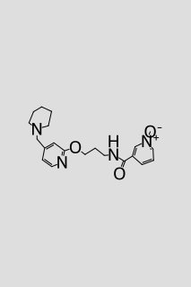 O=C(NCCCOc1cc(CN2CCCCC2)ccn1)c1ccc[n+]([O-])c1